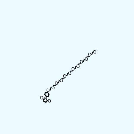 COCCOCCOCCOCCOCCOCCOCCOCCOCCOCCOCCOc1ccc(N2C(=O)C=CC2=O)cc1